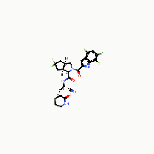 N#C[C@H](C[C@H]1CCCNC1=O)NC(=O)[C@H]1[C@H]2CC(F)(F)C[C@H]2CN1C(=O)c1cc2c(F)cc(Cl)c(F)c2[nH]1